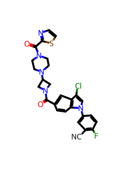 N#Cc1cc(-n2cc(Cl)c3cc(C(=O)N4CC(N5CCN(C(=O)c6nccs6)CC5)C4)ccc32)ccc1F